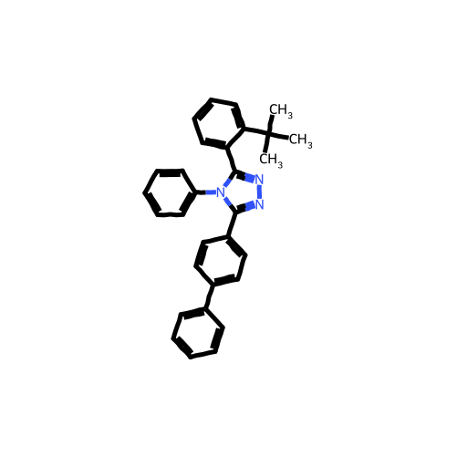 CC(C)(C)c1ccccc1-c1nnc(-c2ccc(-c3ccccc3)cc2)n1-c1ccccc1